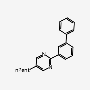 CCCCCc1cnc(-c2cccc(-c3ccccc3)c2)nc1